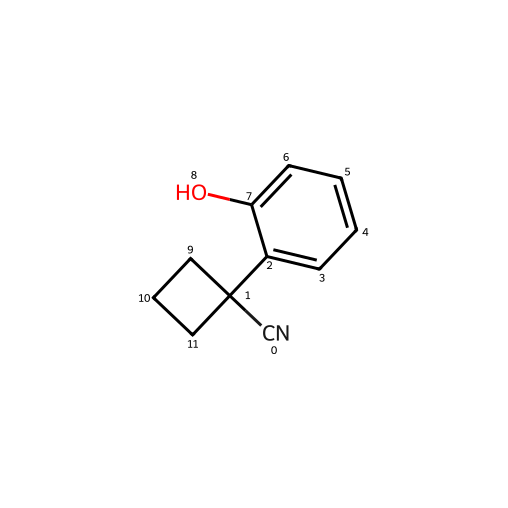 N#CC1(c2ccccc2O)CCC1